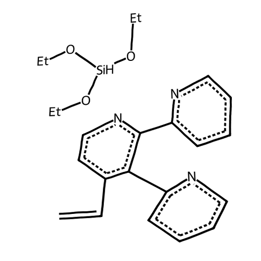 C=Cc1ccnc(-c2ccccn2)c1-c1ccccn1.CCO[SiH](OCC)OCC